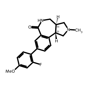 COc1ccc(-c2ccc3c(c2)C(=O)NC[C@H]2CN(C)C[C@H]32)c(F)c1